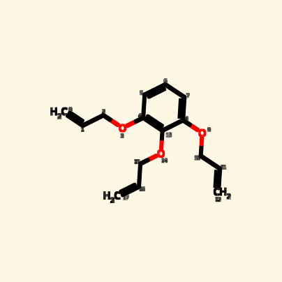 C=CCOc1[c]ccc(OCC=C)c1OCC=C